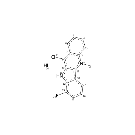 C[n+]1c2ccccc2c(Cl)c2[nH]c3c(F)cccc3c21.I